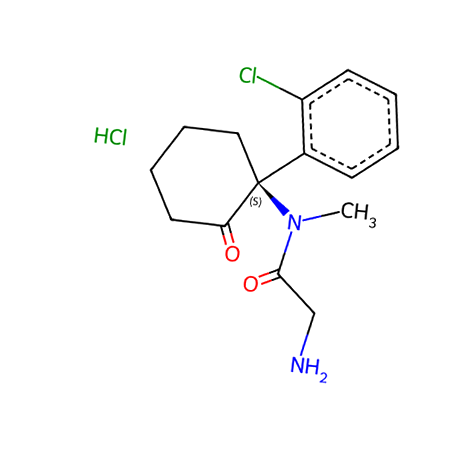 CN(C(=O)CN)[C@]1(c2ccccc2Cl)CCCCC1=O.Cl